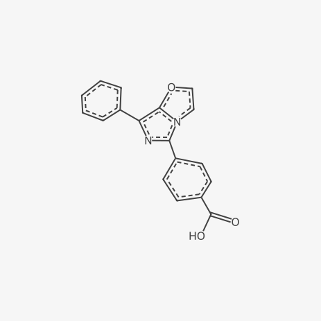 O=C(O)c1ccc(-c2nc(-c3ccccc3)c3occn23)cc1